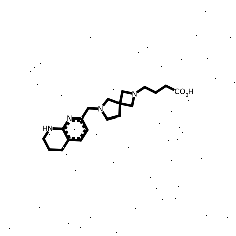 O=C(O)CCCN1CC2(CCN(Cc3ccc4c(n3)NCCC4)C2)C1